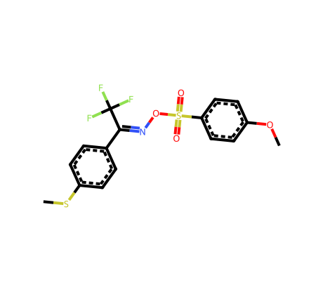 COc1ccc(S(=O)(=O)ON=C(c2ccc(SC)cc2)C(F)(F)F)cc1